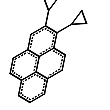 c1cc2ccc3cc(C4CC4)c(C4CC4)c4ccc(c1)c2c34